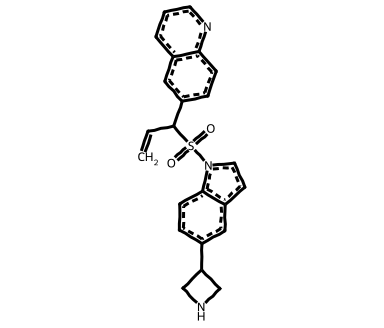 C=CC(c1ccc2ncccc2c1)S(=O)(=O)n1ccc2cc(C3CNC3)ccc21